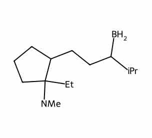 BC(CCC1CCCC1(CC)NC)C(C)C